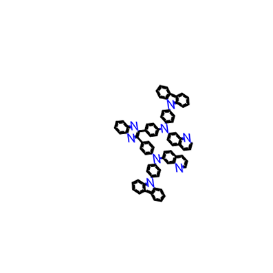 c1cnc2cc(N(c3ccc(-c4nc5ccccc5nc4-c4ccc(N(c5ccc(-n6c7ccccc7c7ccccc76)cc5)c5ccc6cccnc6c5)cc4)cc3)c3ccc(-n4c5ccccc5c5ccccc54)cc3)ccc2c1